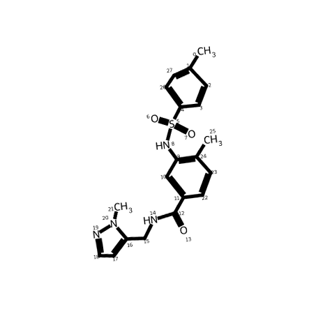 Cc1ccc(S(=O)(=O)Nc2cc(C(=O)NCc3ccnn3C)ccc2C)cc1